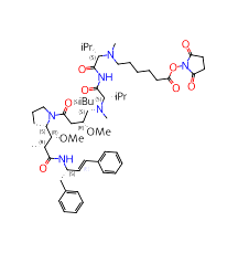 CC[C@H](C)[C@@H]([C@@H](CC(=O)N1CCC[C@H]1[C@H](OC)[C@@H](C)C(=O)N[C@H](/C=C/c1ccccc1)Cc1ccccc1)OC)N(C)[C@H](C(=O)NC(=O)[C@H](C(C)C)N(C)CCCCCC(=O)ON1C(=O)CCC1=O)C(C)C